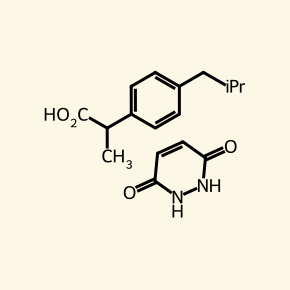 CC(C)Cc1ccc(C(C)C(=O)O)cc1.O=c1ccc(=O)[nH][nH]1